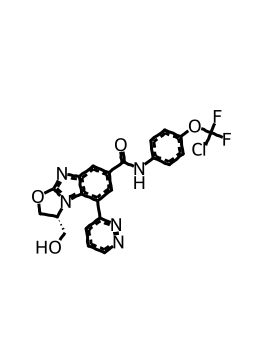 O=C(Nc1ccc(OC(F)(F)Cl)cc1)c1cc(-c2cccnn2)c2c(c1)nc1n2[C@H](CO)CO1